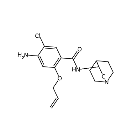 C=CCOc1cc(N)c(Cl)cc1C(=O)NC1CN2CCC1CC2